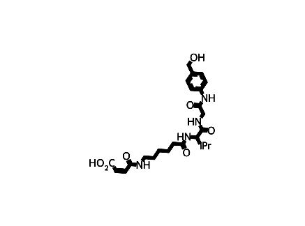 CC(C)C(NC(=O)CCCCCNC(=O)/C=C\C(=O)O)C(=O)NCC(=O)Nc1ccc(CO)cc1